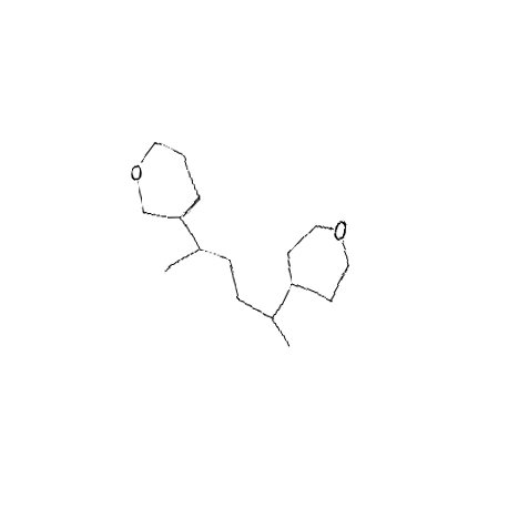 CC(CCC(C)C1CCCOC1)C1CCOCC1